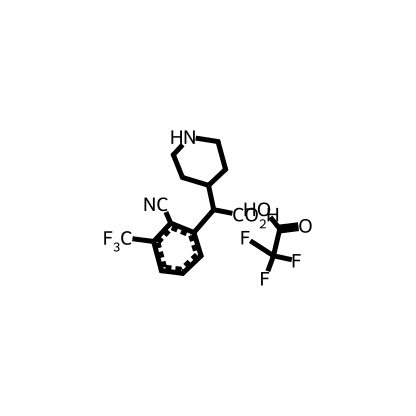 N#Cc1c(C(C(=O)O)C2CCNCC2)cccc1C(F)(F)F.O=C(O)C(F)(F)F